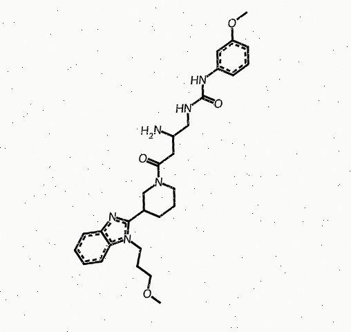 COCCCn1c(C2CCCN(C(=O)CC(N)CNC(=O)Nc3cccc(OC)c3)C2)nc2ccccc21